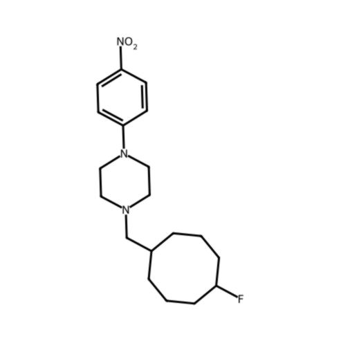 O=[N+]([O-])c1ccc(N2CCN(CC3CCCC(F)CCC3)CC2)cc1